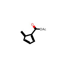 C=C1C=CC=C1C(=O)OC(C)=O